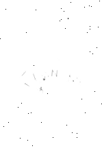 C[C@H]1CN(SI)C[C@H](CS(=O)(=O)c2ccccc2)N1C